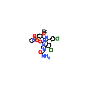 CCOc1ccc(S(=O)(=O)N2CCCCC2)cc1C1=N[C@@H](c2ccc(Cl)cc2)[C@@H](c2ccc(Cl)cc2)N1C(=O)N1CCN(CC(N)=O)CC1